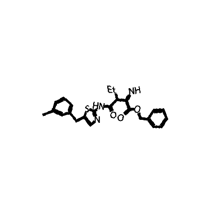 CCC(C(=N)C(=O)OCc1ccccc1)C(=O)Nc1ncc(Cc2cccc(C)c2)s1